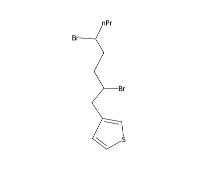 CCCC(Br)CCC(Br)Cc1ccsc1